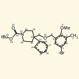 COc1c(C)cc(Br)cc1COCC1(c2ccccc2)CCN(C(=O)OC(C)(C)C)CC1